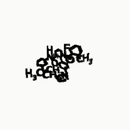 Cc1cccc(F)c1C(=O)N1CCC[C@H](C(=O)Nc2cccc(C(C)(C)C)c2)C1c1ccc(CN2CCCC2)cc1